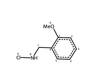 COc1ccccc1CNCl